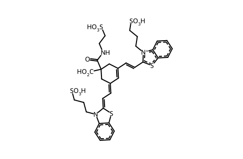 O=C(O)C1(C(=O)NCCS(=O)(=O)O)CC(/C=C/c2sc3ccccc3[n+]2CCCS(=O)(=O)O)=CC(=C/C=C2\Sc3ccccc3N2CCCS(=O)(=O)O)/C1